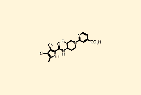 Cc1[nH]c(C(=O)N[C@@H]2CCN(c3cc(C(=O)O)ccn3)C[C@@H]2F)c(C#N)c1Cl